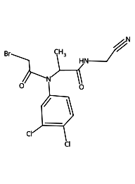 CC(C(=O)NCC#N)N(C(=O)CBr)c1ccc(Cl)c(Cl)c1